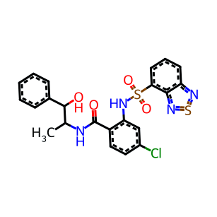 CC(NC(=O)c1ccc(Cl)cc1NS(=O)(=O)c1cccc2nsnc12)C(O)c1ccccc1